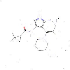 CC1(C)CC1C(=O)Nc1c[nH]c2c1C(N1CCC[C@@H](N)C1)=C(Br)CN2